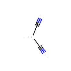 N#[C][Cu-][C]#N.[K+]